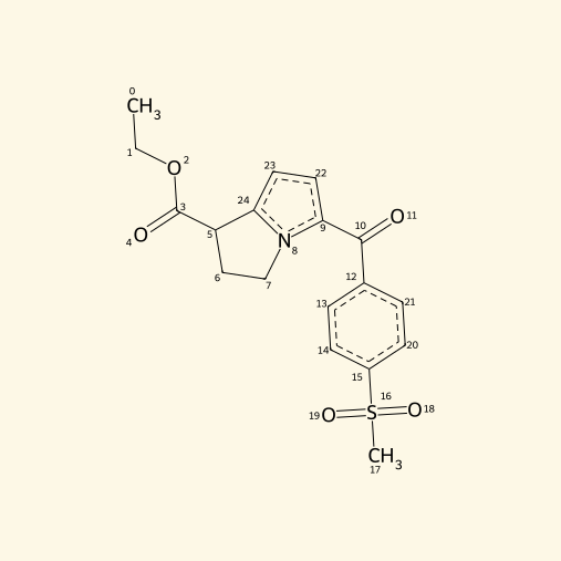 CCOC(=O)C1CCn2c(C(=O)c3ccc(S(C)(=O)=O)cc3)ccc21